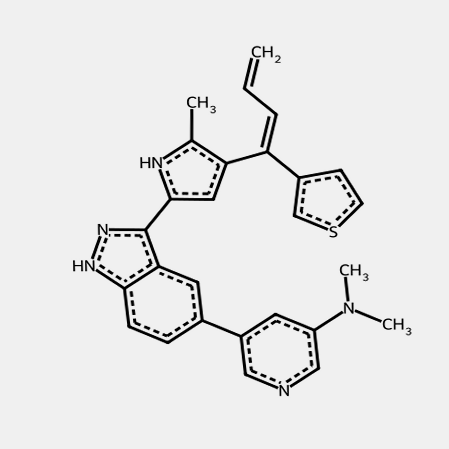 C=C/C=C(/c1ccsc1)c1cc(-c2n[nH]c3ccc(-c4cncc(N(C)C)c4)cc23)[nH]c1C